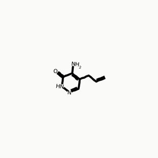 C=CCc1cn[nH]c(=O)c1N